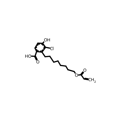 C=CC(=O)OCCCCCCCCc1c(C(=O)O)ccc(O)c1Cl